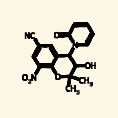 CC1(C)Oc2c(cc(C#N)cc2[N+](=O)[O-])C(n2ccccc2=O)C1O